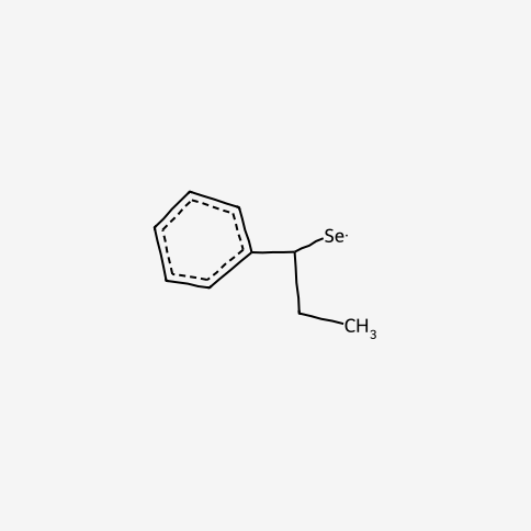 CCC([Se])c1ccccc1